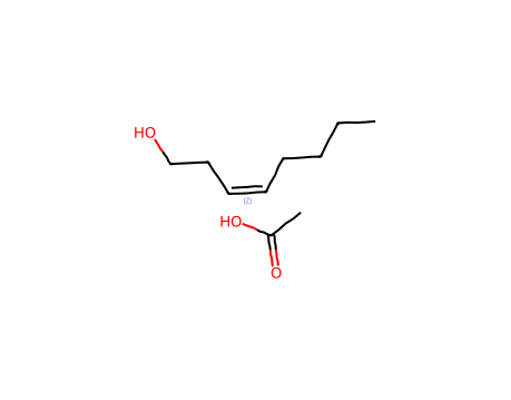 CC(=O)O.CCCC/C=C\CCO